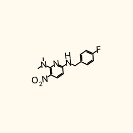 CN(C)c1nc(NCc2ccc(F)cc2)ccc1[N+](=O)[O-]